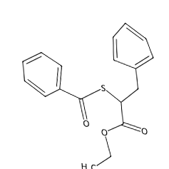 CCOC(=O)C(Cc1ccccc1)SC(=O)c1ccccc1